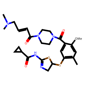 COc1cc(C)c(SC2CN=C(NC(=O)C3CC3)S2)cc1C(=O)N1CCN(C(=O)/C=C/CN(C)C)CC1